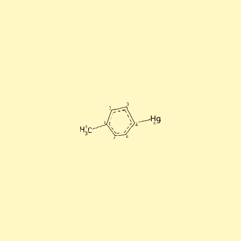 Cc1cc[c]([Hg])cc1